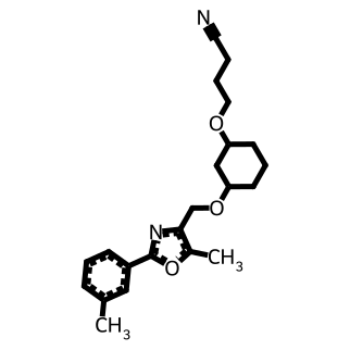 Cc1cccc(-c2nc(COC3CCCC(OCCCC#N)C3)c(C)o2)c1